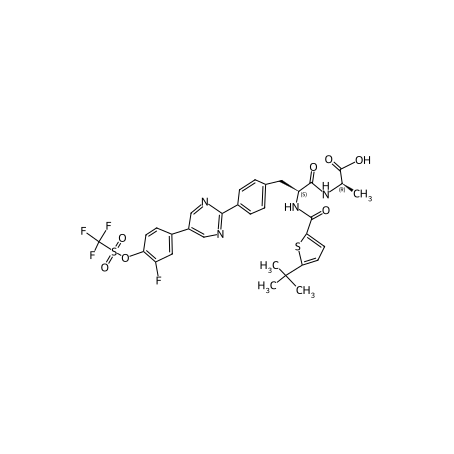 C[C@@H](NC(=O)[C@H](Cc1ccc(-c2ncc(-c3ccc(OS(=O)(=O)C(F)(F)F)c(F)c3)cn2)cc1)NC(=O)c1ccc(C(C)(C)C)s1)C(=O)O